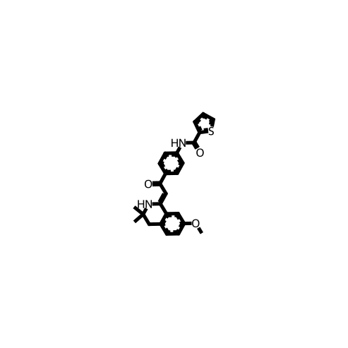 COc1ccc2c(c1)C(=CC(=O)c1ccc(NC(=O)c3cccs3)cc1)NC(C)(C)C2